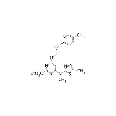 CCOC(=O)c1nc(OC[C@@H]2C[C@H]2c2ccc(C)cn2)cc(N(C)c2nnc(C)s2)n1